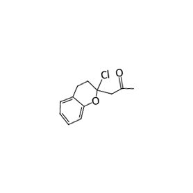 CC(=O)CC1(Cl)CCc2ccccc2O1